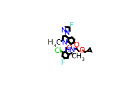 Cc1cc(-n2cc(F)cn2)c2cccc(OCc3c(Cl)cc(F)cc3[C@H](C)NC(=O)COCC3CC3)c2n1